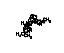 COc1cc(-c2ccc3c(c2NC(=O)N=[S@](N)(=O)c2cnn4c2OCC(C)(C)C4)CC3)ccn1